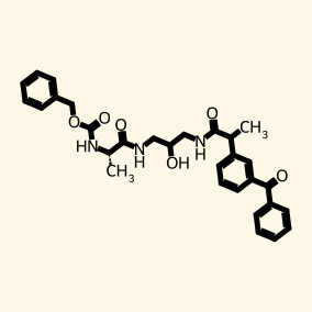 CC(C(=O)NCC(O)CNC(=O)[C@H](C)NC(=O)OCc1ccccc1)c1cccc(C(=O)c2ccccc2)c1